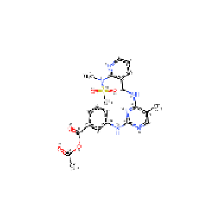 CN(c1ncccc1CNc1nc(Nc2cccc(C(=O)OC(=O)C(F)(F)F)c2)ncc1C(F)(F)F)S(C)(=O)=O